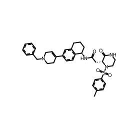 Cc1ccc(S(=O)(=O)N2CCNC(=O)[C@H]2CC(=O)N[C@@H]2CCCc3cc(C4=CCN(Cc5ccccc5)CC4)ccc32)cc1